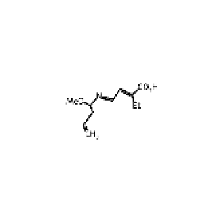 C=CCC(N=C/C=C(\CC)C(=O)O)OC